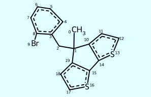 CC1(Cc2ccccc2Br)c2ccsc2-c2sccc21